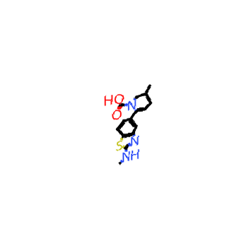 CNc1nc2cc(C3=CCC(C)CN3C(=O)O)ccc2s1